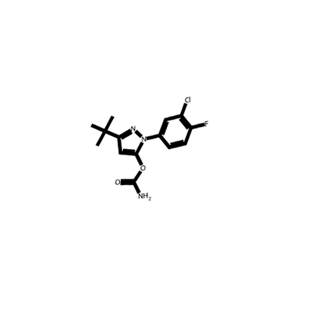 CC(C)(C)c1cc(OC(N)=O)n(-c2ccc(F)c(Cl)c2)n1